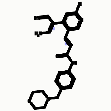 N=C/C(=C\N)c1cc(Cl)ncc1/C=C/C(=O)Nc1ccc(CN2CCOCC2)cc1